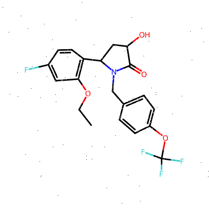 CCOc1cc(F)ccc1C1CC(O)C(=O)N1Cc1ccc(OC(F)(F)F)cc1